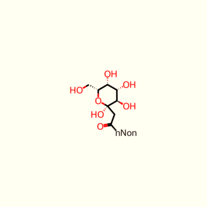 CCCCCCCCCC(=O)C[C@@]1(O)O[C@H](CO)[C@H](O)[C@H](O)[C@H]1O